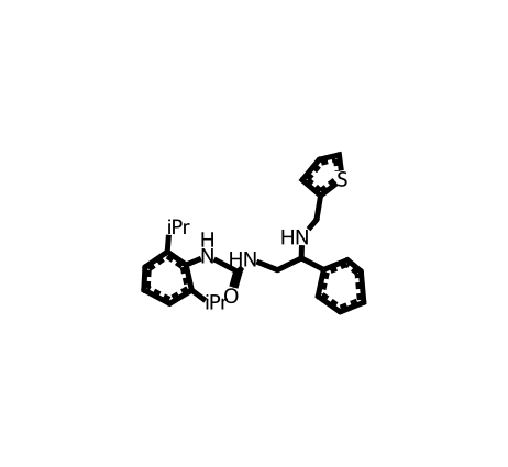 CC(C)c1cccc(C(C)C)c1NC(=O)NCC(NCc1cccs1)c1ccccc1